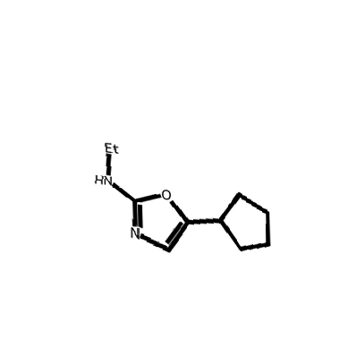 CCNc1ncc(C2CCCC2)o1